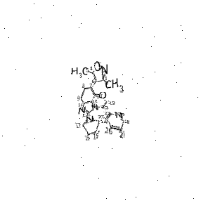 Cc1noc(C)c1-c1ccc2nc(N3C[CH]CC3)n3c2c1OC[C@@H]3c1ccccn1